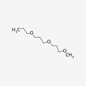 CCCOCCCOCC[CH]OC